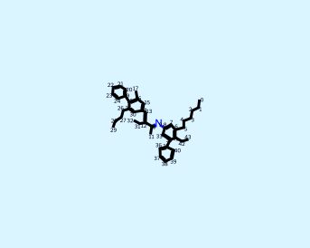 CCCCCCc1cc(N=C(C)C(=Cc2cc(C)c(-c3ccccc3)c(CCCC)c2)CC)cc(-c2ccccc2)c1CC